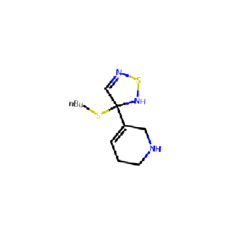 CCCCSC1(C2=CCCNC2)C=NSN1